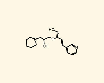 ON=C(C=Cc1cccnc1)OCC(O)CN1CCCCC1